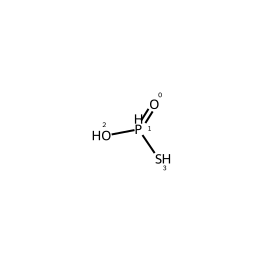 O=[PH](O)S